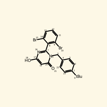 CC(C)(C)c1ccc(Cn2c(-c3c(Br)cccc3Br)nc(O)cc2=O)cc1